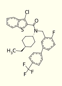 CC[C@H]1CC[C@H](N(Cc2cc(-c3ccc(C(F)(F)F)cc3)ccc2F)C(=O)c2sc3ccccc3c2Cl)CC1